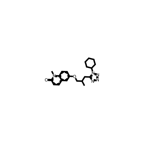 CC(COc1ccc2c(ccc(=O)n2C)c1)Cc1nnnn1C1CCCCC1